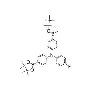 CB(OC(C)(C)C(C)(C)C)c1ccc(N(c2ccc(F)cc2)c2ccc(B3OC(C)(C)C(C)(C)O3)cc2)cc1